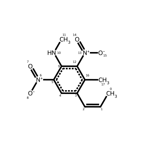 C/C=C\c1cc([N+](=O)[O-])c(NC)c([N+](=O)[O-])c1C